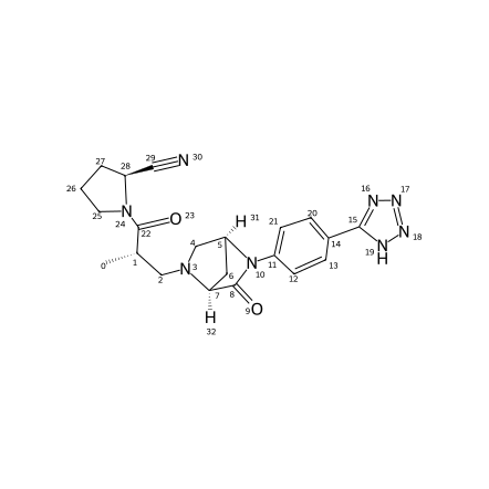 C[C@@H](CN1C[C@@H]2C[C@H]1C(=O)N2c1ccc(-c2nnn[nH]2)cc1)C(=O)N1CCC[C@H]1C#N